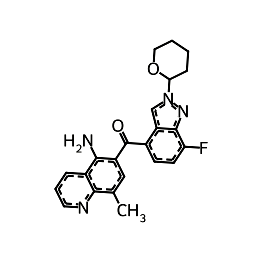 Cc1cc(C(=O)c2ccc(F)c3nn(C4CCCCO4)cc23)c(N)c2cccnc12